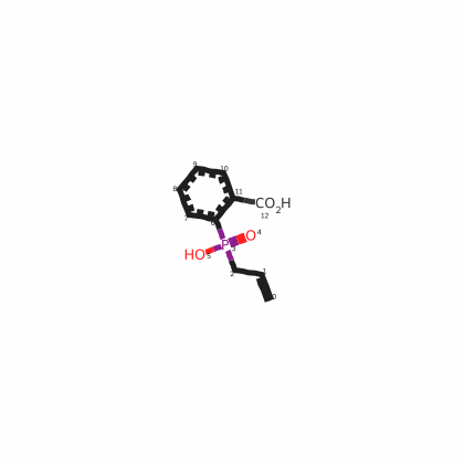 C=CCP(=O)(O)c1ccccc1C(=O)O